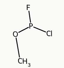 COP(F)Cl